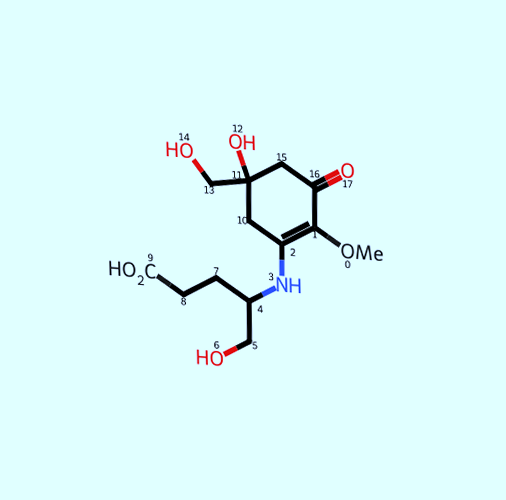 COC1=C(NC(CO)CCC(=O)O)CC(O)(CO)CC1=O